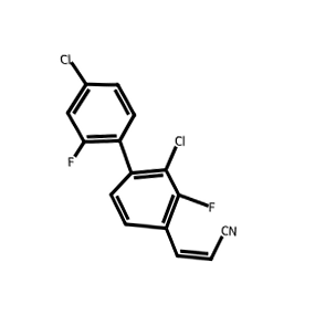 N#C/C=C\c1ccc(-c2ccc(Cl)cc2F)c(Cl)c1F